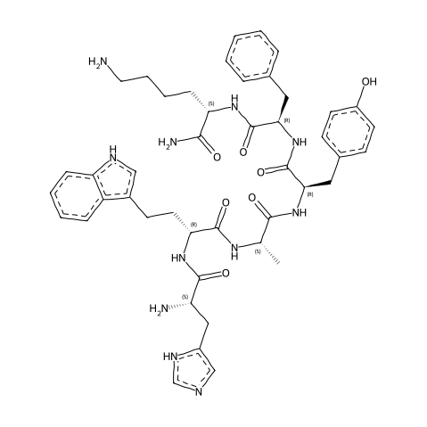 C[C@H](NC(=O)[C@@H](CCc1c[nH]c2ccccc12)NC(=O)[C@@H](N)Cc1cnc[nH]1)C(=O)N[C@H](Cc1ccc(O)cc1)C(=O)N[C@H](Cc1ccccc1)C(=O)N[C@@H](CCCCN)C(N)=O